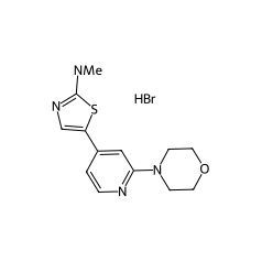 Br.CNc1ncc(-c2ccnc(N3CCOCC3)c2)s1